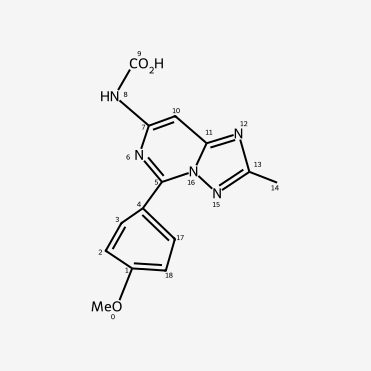 COc1ccc(-c2nc(NC(=O)O)cc3nc(C)nn23)cc1